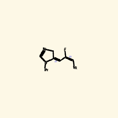 CC/C=C(F)\C=C1/CN=CN1C(C)C